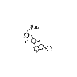 CC(C)(C)[Si](C)(C)OCc1csc(C(=O)c2cc(-c3ncnc4cc(N5CCOCC5)ncc34)c(F)cc2Cl)n1